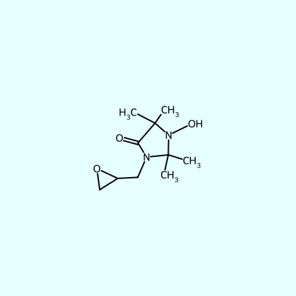 CC1(C)C(=O)N(CC2CO2)C(C)(C)N1O